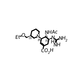 CCOC[C@H]1CCCN([C@@H]2C=C(C(=O)O)C[C@H](NC(=N)N)[C@H]2NC(C)=O)C1